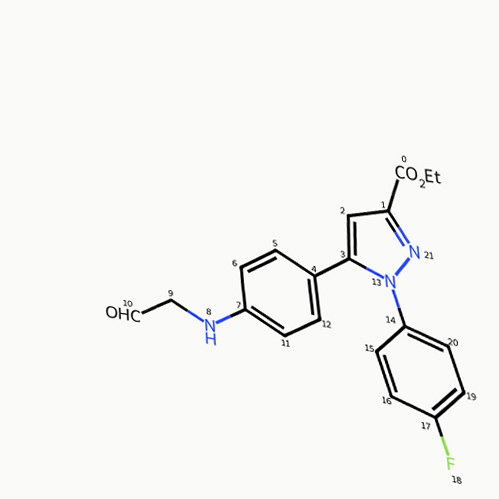 CCOC(=O)c1cc(-c2ccc(NCC=O)cc2)n(-c2ccc(F)cc2)n1